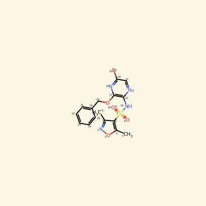 Cc1noc(C)c1S(=O)(=O)Nc1ncc(Br)nc1OCc1ccccc1